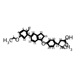 CCOc1ccc(F)c(-c2ccc3c(c2)CCC3Oc2ccc([C@H](CC)CC(=O)O)cc2)c1